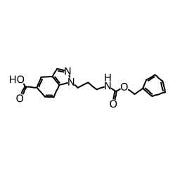 O=C(NCCCn1ncc2cc(C(=O)O)ccc21)OCc1ccccc1